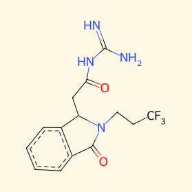 N=C(N)NC(=O)CC1c2ccccc2C(=O)N1CCC(F)(F)F